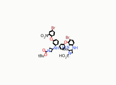 CC(C)(C)C1C(Nc2ccc(Br)c(Oc3ccccc3)c2N)CN1C(=O)O.CC(C)(C)OC(=O)N1CC(Nc2cccc(Oc3ccc(Br)cc3[N+](=O)[O-])c2)C1